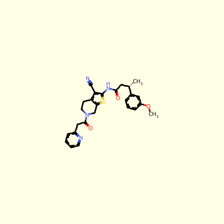 COc1cccc([C@@H](C)CC(=O)Nc2sc3c(c2C#N)CCN(C(=O)Cc2ccccn2)C3)c1